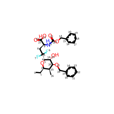 CC[C@H]1O[C@H](C(F)(F)C[C@H](NC(=O)OCc2ccccc2)C(=O)O)[C@H](O)[C@@H](OCc2ccccc2)[C@H]1C